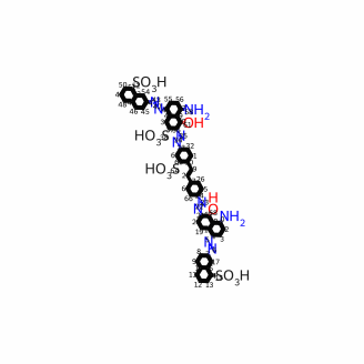 Nc1ccc(N=Nc2ccc3cccc(S(=O)(=O)O)c3c2)c2ccc(N=Nc3ccc(/C=C/c4ccc(N=Nc5c(S(=O)(=O)O)cc6c(N=Nc7ccc8cccc(S(=O)(=O)O)c8c7)ccc(N)c6c5O)cc4S(=O)(=O)O)cc3)c(O)c12